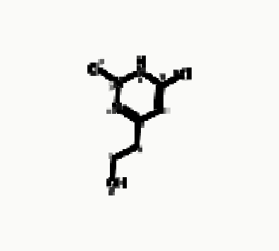 OCCC1=NN(Cl)NC(Cl)=C1